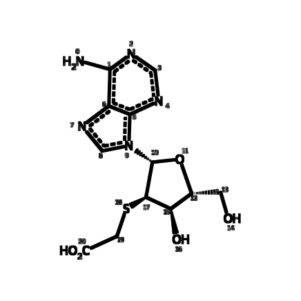 Nc1ncnc2c1ncn2[C@@H]1O[C@H](CO)[C@@H](O)[C@H]1SCC(=O)O